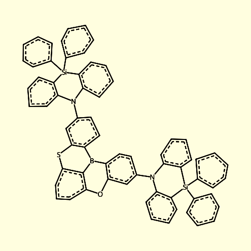 c1ccc([Si]2(c3ccccc3)c3ccccc3N(c3ccc4c(c3)Oc3cccc5c3B4c3ccc(N4c6ccccc6[Si](c6ccccc6)(c6ccccc6)c6ccccc64)cc3S5)c3ccccc32)cc1